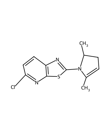 CC1=CCC(C)N1c1nc2ccc(Cl)nc2s1